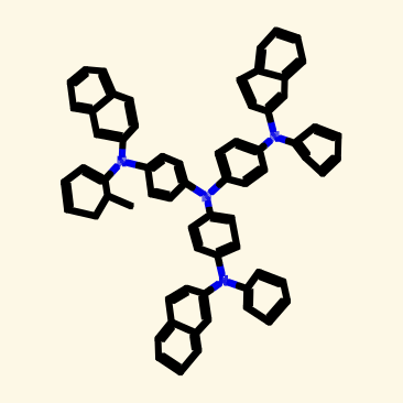 CC1CC=CC=C1N(c1ccc(N(c2ccc(N(c3ccccc3)c3ccc4ccccc4c3)cc2)c2ccc(N(c3ccccc3)c3ccc4ccccc4c3)cc2)cc1)c1ccc2ccccc2c1